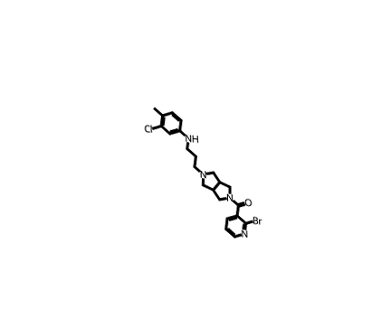 Cc1ccc(NCCCN2CC3CN(C(=O)c4cccnc4Br)CC3C2)cc1Cl